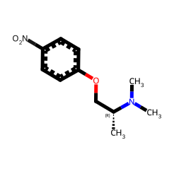 C[C@H](COc1ccc([N+](=O)[O-])cc1)N(C)C